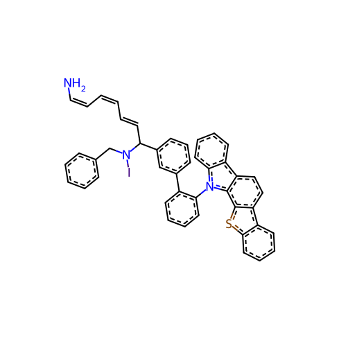 N\C=C/C=C\C=C\C(c1cccc(-c2ccccc2-n2c3ccccc3c3ccc4c5ccccc5sc4c32)c1)N(I)Cc1ccccc1